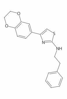 c1ccc(CCNc2nc(-c3ccc4c(c3)OCCO4)cs2)cc1